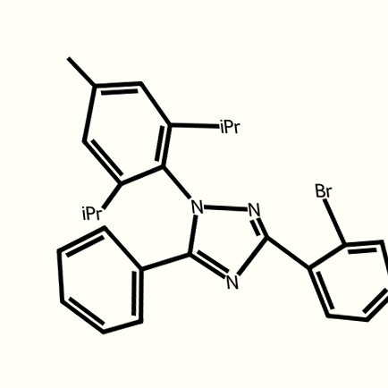 Cc1cc(C(C)C)c(-n2nc(-c3ccccc3Br)nc2-c2ccccc2)c(C(C)C)c1